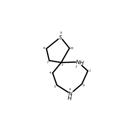 C1CNC2(CCN1)CCSC2